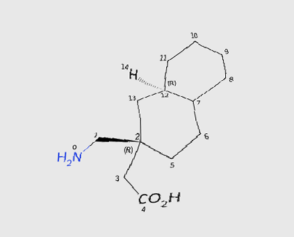 NC[C@]1(CC(=O)O)CCC2CCCC[C@@H]2C1